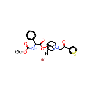 CC(C)(C)OC(=O)NC(C(=O)O[C@H]1C[N+]2(CC(=O)c3ccsc3)CCC1CC2)c1ccccc1.[Br-]